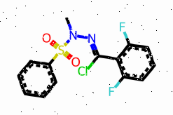 CN(N=C(Cl)c1c(F)cccc1F)S(=O)(=O)c1ccccc1